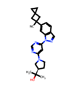 CC(C)(O)[C@@H]1CCN(c2cc(-n3ncc4ccc(C5(C#N)CC6(CC6)C5)cc43)ncn2)C1